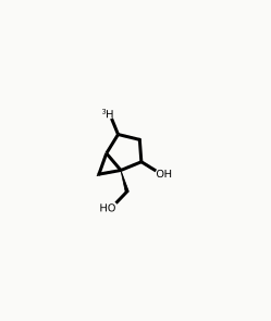 [3H]C1CC(O)[C@]2(CO)CC12